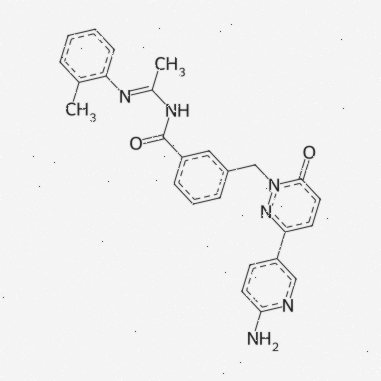 C/C(=N\c1ccccc1C)NC(=O)c1cccc(Cn2nc(-c3ccc(N)nc3)ccc2=O)c1